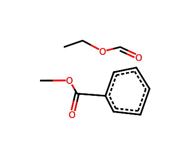 CCOC=O.COC(=O)c1ccccc1